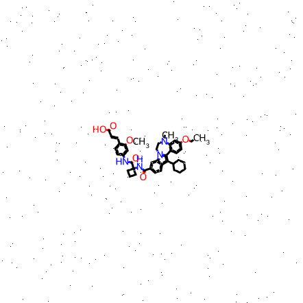 CCOc1ccc2c(c1)N(C)CCn1c-2c(C2CCCCC2)c2ccc(C(=O)NC3(C(=O)Nc4ccc(/C=C/C(=O)O)c(OC)c4)CCC3)cc21